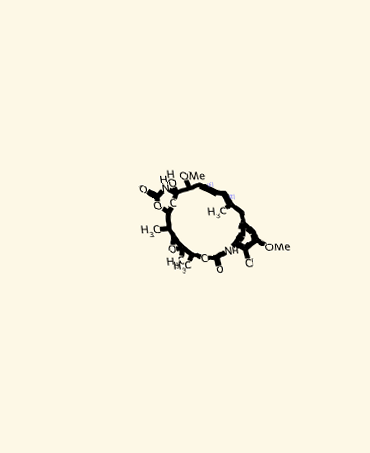 COc1cc2cc(c1Cl)NC(=O)CC(C)C1(C)OC1C(C)C1CC(O)(NC(=O)O1)C(OC)/C=C/C=C(\C)C2